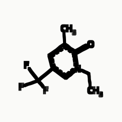 CCn1cc(C(F)(F)F)cc(C)c1=O